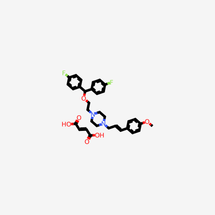 COc1ccc(C=CCN2CCN(CCOC(c3ccc(F)cc3)c3ccc(F)cc3)CC2)cc1.O=C(O)C=CC(=O)O